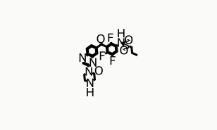 CCCS(=O)(=O)Nc1cc(F)c(F)c(C(=O)c2ccc3ncc(N4CCNCC4=O)nc3c2)c1F